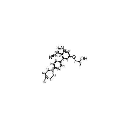 CC(O)COc1cc(-c2ccc(N3CCN(C)CC3)nc2)c2c(C#N)cnn2c1